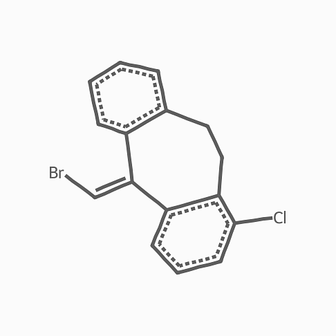 Clc1cccc2c1CCc1ccccc1C2=CBr